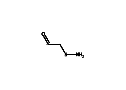 NSC[C]=O